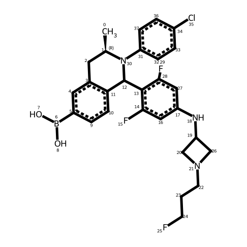 C[C@@H]1Cc2cc(B(O)O)ccc2C(c2c(F)cc(NC3CN(CCCF)C3)cc2F)N1c1ccc(Cl)cc1